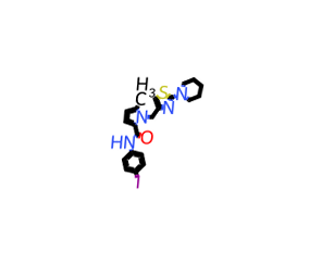 Cc1ccc(C(=O)Nc2ccc(I)cc2)n1Cc1csc(N2CCCCC2)n1